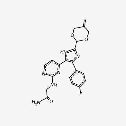 C=C1COC(c2nc(-c3ccc(F)cc3)c(-c3ccnc(NCC(N)=O)n3)[nH]2)OC1